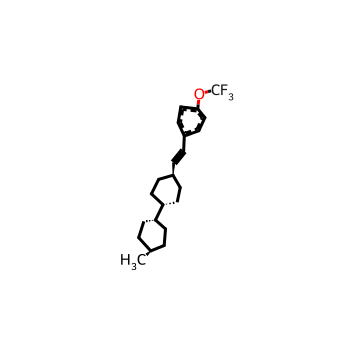 C[C@H]1CC[C@H]([C@H]2CC[C@H](C#Cc3ccc(OC(F)(F)F)cc3)CC2)CC1